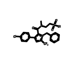 CCS(=O)(=O)CCN(C)C(=O)c1c(-c2ccc(Cl)cc2)cc(C(F)(F)F)n1Cc1ccccc1